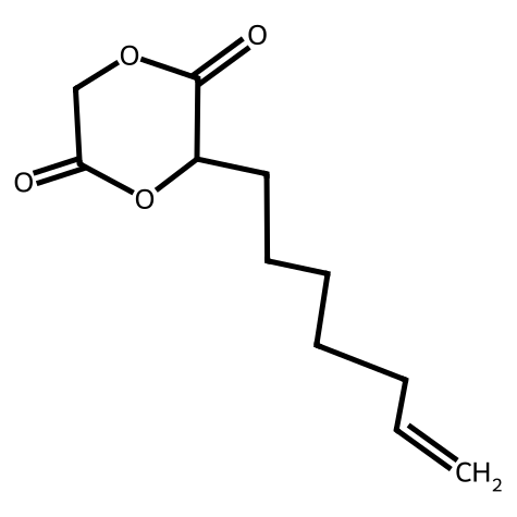 C=CCCCCCC1OC(=O)COC1=O